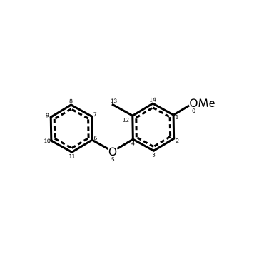 COc1ccc(Oc2ccccc2)c(C)c1